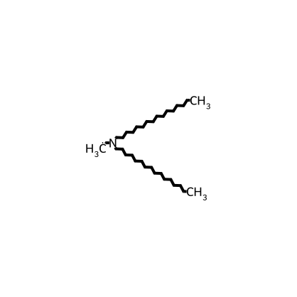 C[CH]N(CCCCCCCCCCCCCCCC)CCCCCCCCCCCCCCCC